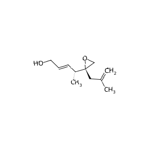 C=C(C)C[C@]1([C@H](C)/C=C/CO)CO1